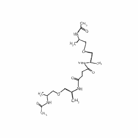 CC(=O)NC(C)COCC(C)NC(=O)CCC(=O)NC(C)COCC(C)NC(C)=O